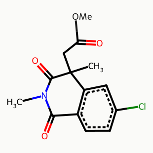 COC(=O)CC1(C)C(=O)N(C)C(=O)c2ccc(Cl)cc21